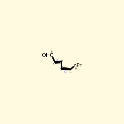 CCC/C=C\C=C\C=O